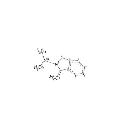 C=C1c2ccccc2CN1C(C)C